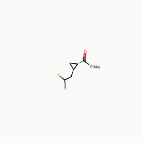 COC(=O)[C@H]1C[C@@H]1CC(F)F